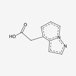 O=C(O)Cc1cccn2nccc12